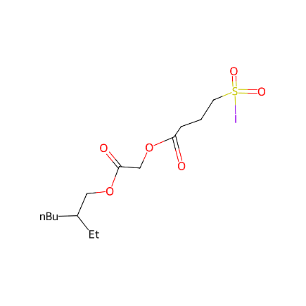 CCCCC(CC)COC(=O)COC(=O)CCCS(=O)(=O)I